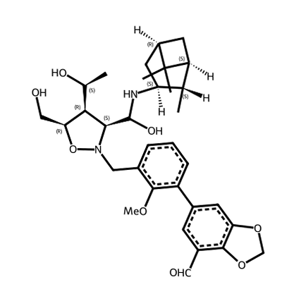 COc1c(CN2O[C@@H](CO)[C@@H]([C@H](C)O)[C@H]2C(O)N[C@H]2C[C@H]3C[C@@H]([C@@H]2C)C3(C)C)cccc1-c1cc(C=O)c2c(c1)OCO2